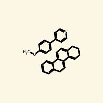 C1=c2c(ccc3c2=CCc2ccccc2-3)CCC1.COc1ccc(-c2ccncc2)cc1